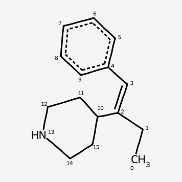 CCC(=Cc1ccccc1)C1CCNCC1